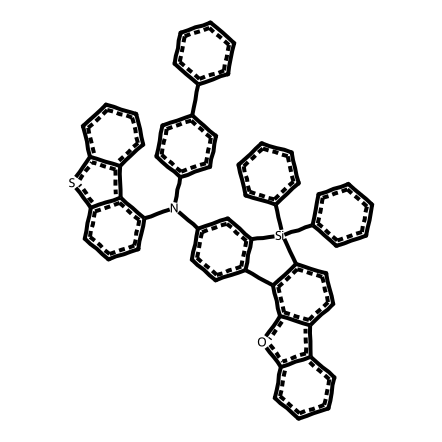 c1ccc(-c2ccc(N(c3ccc4c(c3)[Si](c3ccccc3)(c3ccccc3)c3ccc5c(oc6ccccc65)c3-4)c3cccc4sc5ccccc5c34)cc2)cc1